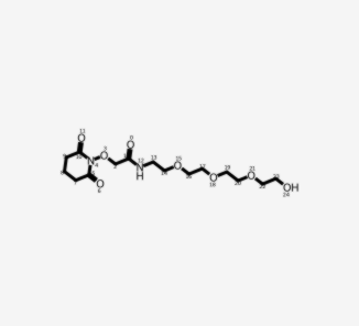 O=C(CON1C(=O)CCCC1=O)NCCOCCOCCOCCO